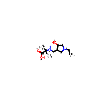 CCN1CC(O)C(CNC(C)(C)C(=O)O)C1